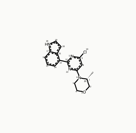 C[C@@H]1COCCN1c1cc(Cl)nc(-c2cccc3[nH]ccc23)n1